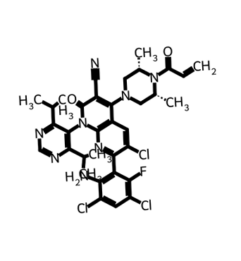 C=CC(=O)N1[C@H](C)CN(c2c(C#N)c(=O)n(-c3c(C(C)C)ncnc3C(C)C)c3nc(-c4c(N)c(Cl)cc(Cl)c4F)c(Cl)cc23)C[C@@H]1C